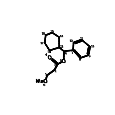 COCCC(=O)OC(c1ccccc1)C1CCCCC1